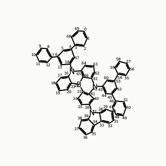 c1ccc(-c2cc(-c3ccccc3)cc(N3c4ccccc4B4c5ccc(-n6c7ccccc7c7ccccc76)cc5N(c5cc(-c6ccccc6)cc(-c6ccccc6)c5)c5cccc3c54)c2)cc1